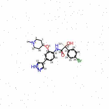 CN1CCC(Oc2cc(-c3cn[nH]c3)ccc2NC(=O)[C@@](C)(O)c2ccc(Br)cc2)CC1